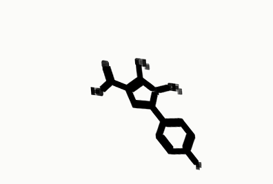 Cc1c(C(=O)O)cc(-c2ccc(F)cc2)n1C